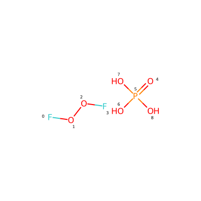 FOOF.O=P(O)(O)O